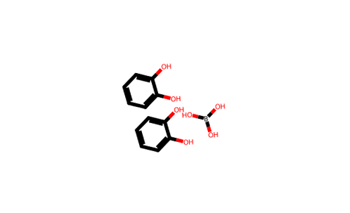 OB(O)O.Oc1ccccc1O.Oc1ccccc1O